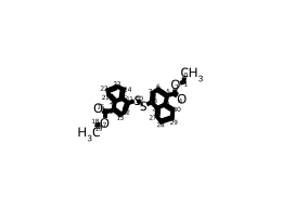 CCOC(=O)c1ccc(SSc2ccc(C(=O)OCC)c3ccccc23)c2ccccc12